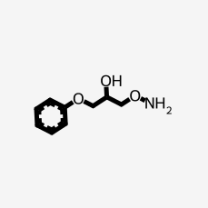 NOCC(O)COc1ccccc1